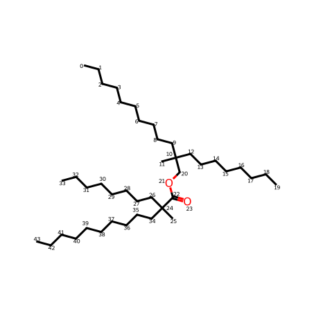 CCCCCCCCCCC(C)(CCCCCCCC)COC(=O)C(C)(CCCCCCCC)CCCCCCCCCC